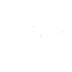 CCOC(=O)CCCCCOc1ccccc1CN(CC)C(=O)c1ccc(-c2ccco2)cc1